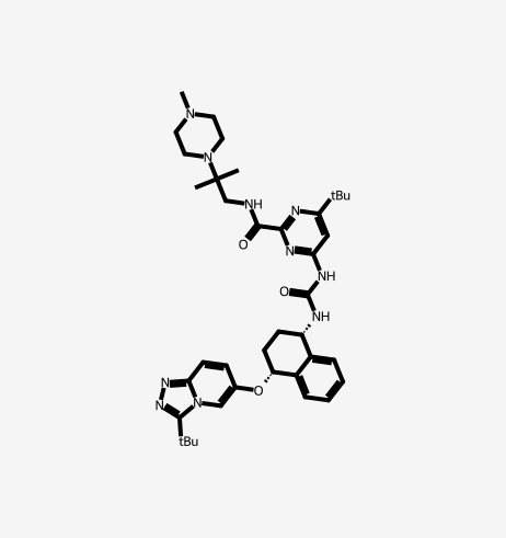 CN1CCN(C(C)(C)CNC(=O)c2nc(NC(=O)N[C@H]3CC[C@@H](Oc4ccc5nnc(C(C)(C)C)n5c4)c4ccccc43)cc(C(C)(C)C)n2)CC1